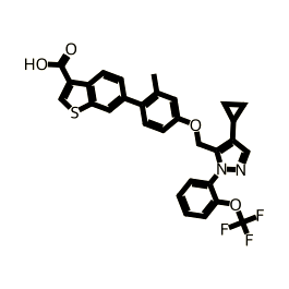 Cc1cc(OCc2c(C3CC3)cnn2-c2ccccc2OC(F)(F)F)ccc1-c1ccc2c(C(=O)O)csc2c1